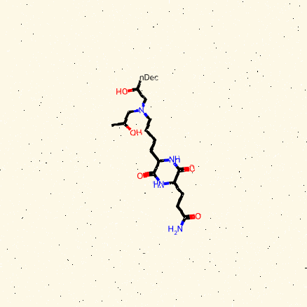 CCCCCCCCCCC(O)CN(CCCCC1NC(=O)C(CCC(N)=O)NC1=O)CC(C)O